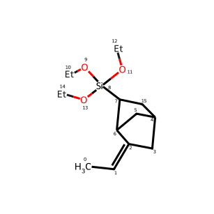 CC=C1CC2CC1C([Si](OCC)(OCC)OCC)C2